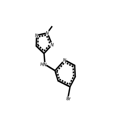 Cn1ncc(Nc2cc(Br)ccn2)n1